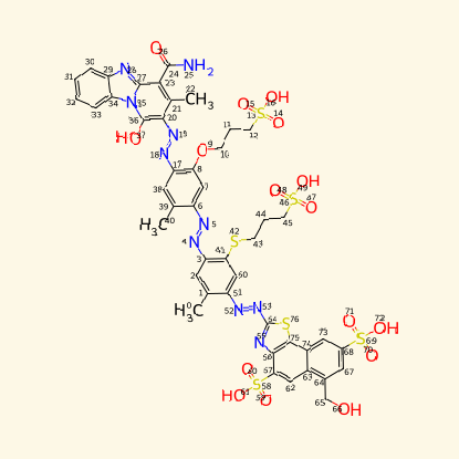 Cc1cc(N=Nc2cc(OCCCS(=O)(=O)O)c(N=Nc3c(C)c(C(N)=O)c4nc5ccccc5n4c3O)cc2C)c(SCCCS(=O)(=O)O)cc1N=Nc1nc2c(S(=O)(=O)O)cc3c(CO)cc(S(=O)(=O)O)cc3c2s1